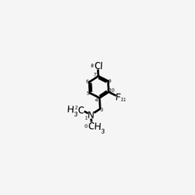 CN(C)Cc1ccc(Cl)cc1F